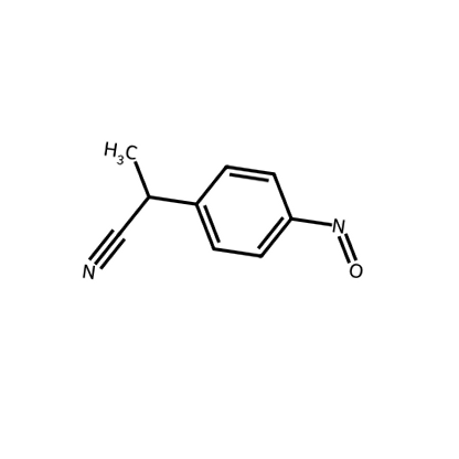 CC(C#N)c1ccc(N=O)cc1